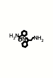 NC(=O)c1ccccc1.NCCc1c[nH]c2ccccc12